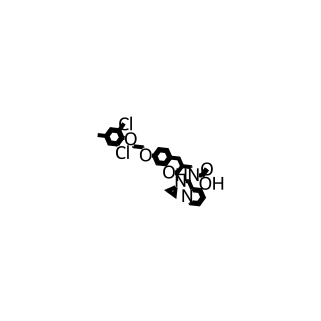 Cc1cc(Cl)c(OCCOc2ccc(CC(CNC(=O)O)C(=O)N(Cc3ccccn3)C3CC3)cc2)c(Cl)c1